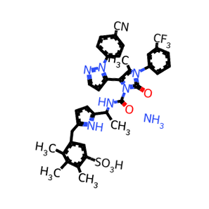 Cc1c(Cc2ccc(C(C)NC(=O)n3c(-c4ccnn4-c4ccc(C#N)cc4)c(C)n(-c4cccc(C(F)(F)F)c4)c3=O)[nH]2)cc(S(=O)(=O)O)c(C)c1C.N